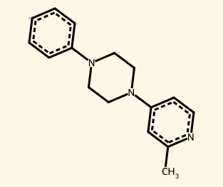 Cc1cc(N2CCN(c3cc[c]cc3)CC2)ccn1